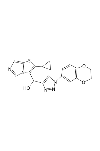 OC(c1cn(-c2ccc3c(c2)OCCO3)nn1)c1c(C2CC2)sc2cncn12